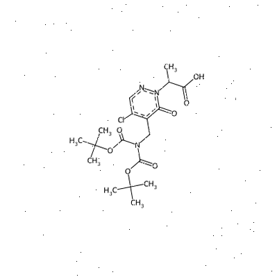 CC(C(=O)O)n1ncc(Cl)c(CN(C(=O)OC(C)(C)C)C(=O)OC(C)(C)C)c1=O